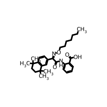 CCCCCCCON=C(C(=O)Nc1ccccc1C(=O)O)c1ccc2c(c1)C(C)(C)CCC2(C)C